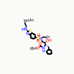 CC(=O)NCCNc1nc2ccc(S(=O)(=O)N(CC(C)C)C[C@@H](O)[C@H](Cc3ccccc3)NC(=O)OC(C)(C)C)cc2s1